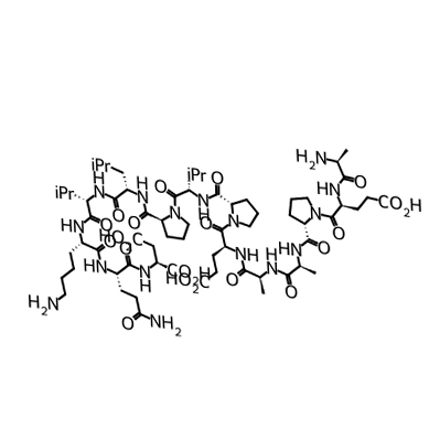 CC(C)C[C@H](NC(=O)[C@@H]1CCCN1C(=O)[C@@H](NC(=O)[C@@H]1CCCN1C(=O)[C@H](CCC(=O)O)NC(=O)[C@H](C)NC(=O)[C@H](C)NC(=O)[C@@H]1CCCN1C(=O)[C@H](CCC(=O)O)NC(=O)[C@H](C)N)C(C)C)C(=O)N[C@H](C(=O)N[C@@H](CCCCN)C(=O)N[C@@H](CCC(N)=O)C(=O)N[C@@H](CC(=O)O)C(=O)O)C(C)C